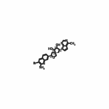 Cc1ncnc2c1ccn2[C@@H]1C[C@@]2(CO[C@@H](c3ccc4cc(Br)c(N)nc4c3)C2)[C@@H](O)[C@H]1O